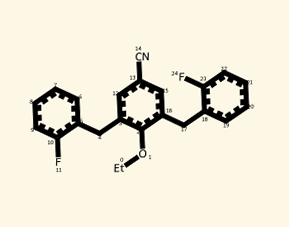 CCOc1c(Cc2ccccc2F)cc(C#N)cc1Cc1ccccc1F